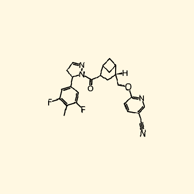 Cc1c(F)cc(C2CC=NN2C(=O)C2C[C@@H](COc3ccc(C#N)cn3)C3CC2C3)cc1F